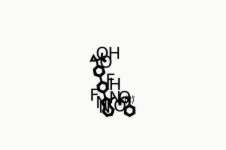 C[C@@H](OC(=O)Nc1c(-c2cc(F)c(-c3ccc(C4(C(=O)O)CC4)cc3)cc2F)nn2ccccc12)c1ccccc1